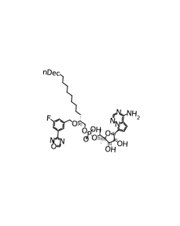 CCCCCCCCCCCCCCCCCCC[C@H](COP(=O)(O)O[C@@H](C)[C@@]1(C)O[C@@H](c2ccc3c(N)ncnn23)[C@H](O)[C@@H]1O)OCc1cc(F)cc(-c2ncon2)c1